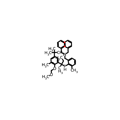 CCC(C)(Pc1c(C)cccc1CN(Cc1ccccc1)Cc1ccccc1)c1cc(C(C)(C)C)cc(C)c1OCOC